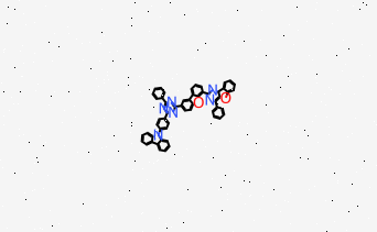 c1ccc(-c2nc(-c3ccc(-n4c5ccccc5c5ccccc54)cc3)nc(-c3ccc4oc5c(-c6nc(-c7ccccc7)c7oc8ccccc8c7n6)cccc5c4c3)n2)cc1